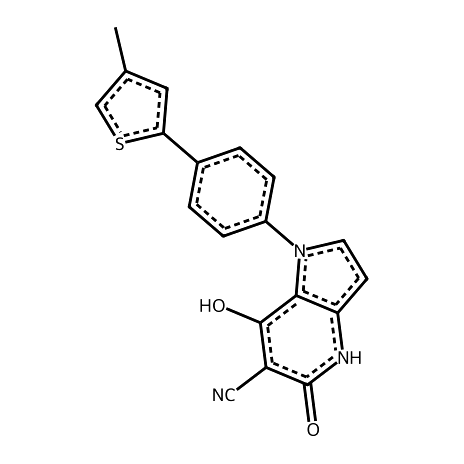 Cc1csc(-c2ccc(-n3ccc4[nH]c(=O)c(C#N)c(O)c43)cc2)c1